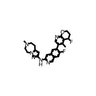 Cc1c(-c2cc3cc(Nc4cc5n(n4)CCN(C)CC5)ncc3cc2F)cnc2c1C(F)CCO2